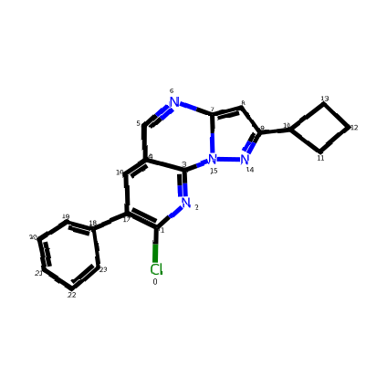 Clc1nc2c(cnc3cc(C4CCC4)nn32)cc1-c1ccccc1